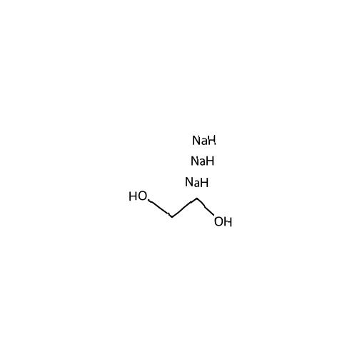 OCCO.[NaH].[NaH].[NaH]